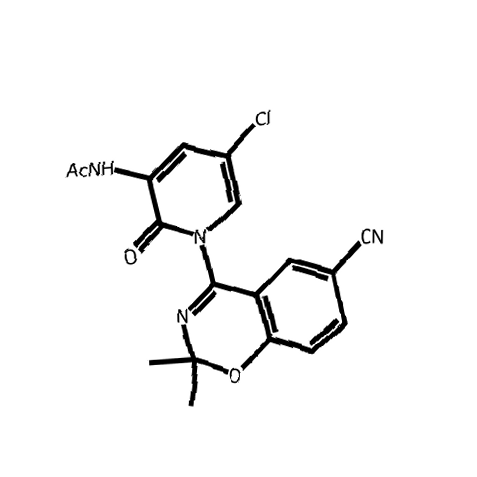 CC(=O)Nc1cc(Cl)cn(C2=NC(C)(C)Oc3ccc(C#N)cc32)c1=O